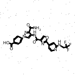 NC(=O)c1nn(-c2ccc(C(=O)O)cc2)cc1NC(=O)c1coc(-c2ccnc(NCC(F)(F)F)c2)n1